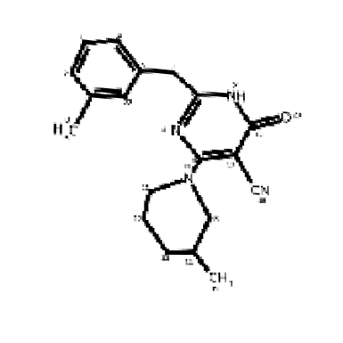 Cc1cccc(Cc2nc(N3CCCC(C)C3)c(C#N)c(=O)[nH]2)c1